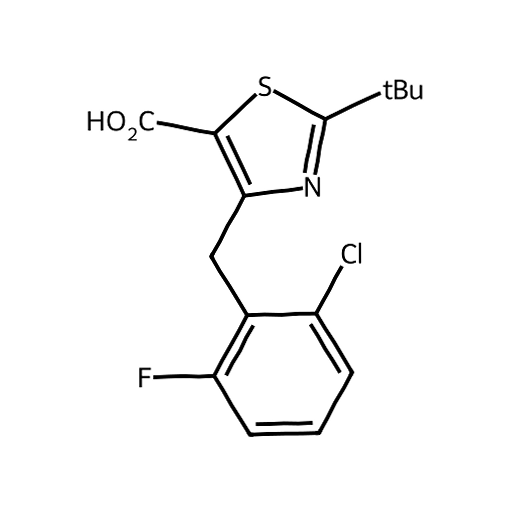 CC(C)(C)c1nc(Cc2c(F)cccc2Cl)c(C(=O)O)s1